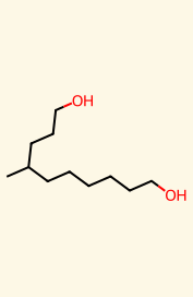 CC(CCCO)CCCCCCO